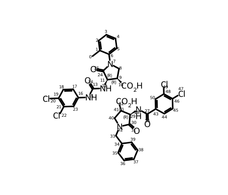 Cc1ccccc1N1C[C@@H](C(=O)O)[C@@H](NC(=O)Nc2ccc(Cl)c(Cl)c2)C1=O.O=C(N[C@H]1C(=O)N(Cc2ccccc2)C[C@H]1C(=O)O)c1ccc(Cl)c(Cl)c1